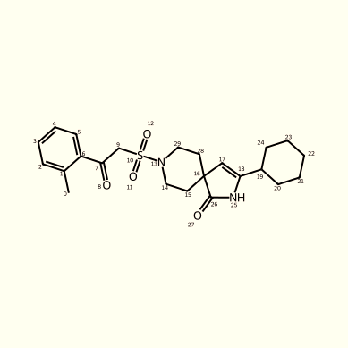 Cc1ccccc1C(=O)CS(=O)(=O)N1CCC2(C=C(C3CCCCC3)NC2=O)CC1